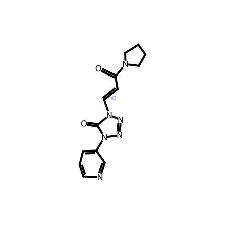 O=C(/C=C/n1nnn(-c2cccnc2)c1=O)N1CCCC1